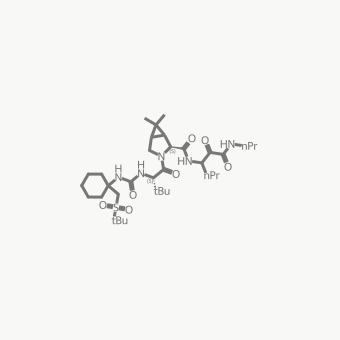 CCCNC(=O)C(=O)C(CCC)NC(=O)[C@@H]1C2C(CN1C(=O)[C@@H](NC(=O)NC1(CS(=O)(=O)C(C)(C)C)CCCCC1)C(C)(C)C)C2(C)C